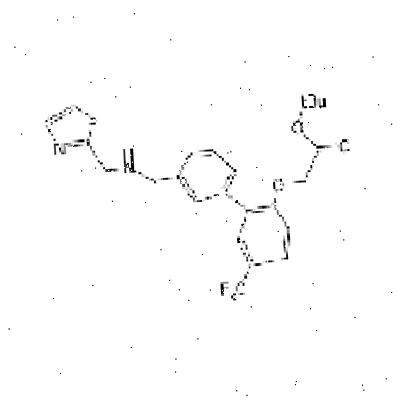 CC(C)(C)OC(=O)COc1ccc(C(F)(F)F)cc1-c1cccc(CNCc2nccs2)c1